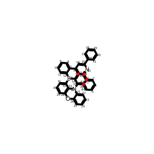 c1ccc(-c2cc(-c3ccccc3B3c4ccccc4N4c5ccccc5Oc5cccc3c54)cc(-c3ccccc3)n2)cc1